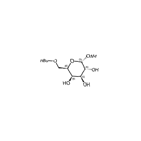 CCCCOC[C@H]1O[C@H](OC)[C@H](O)[C@@H](O)[C@H]1O